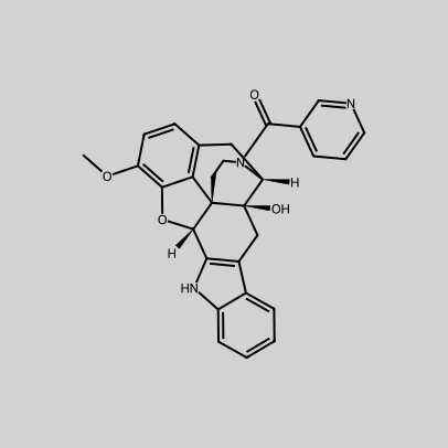 COc1ccc2c3c1O[C@H]1c4[nH]c5ccccc5c4C[C@@]4(O)[C@@H](C2)N(C(=O)c2cccnc2)CC[C@]314